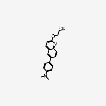 CN(C)c1ccc(-c2ccc3nc(OCC[18F])ccc3c2)cc1